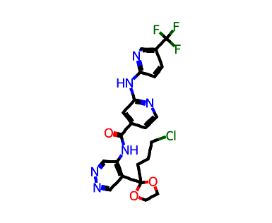 O=C(Nc1cnncc1C1(CCCCl)OCCO1)c1ccnc(Nc2ccc(C(F)(F)F)cn2)c1